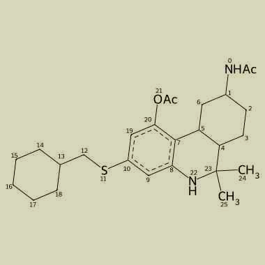 CC(=O)NC1CCC2C(C1)c1c(cc(SCC3CCCCC3)cc1OC(C)=O)NC2(C)C